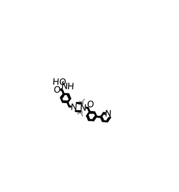 C[C@@H]1CN(Cc2ccc(C(=O)NO)cc2)C[C@H](C)N1C(=O)c1cccc(-c2cccnc2)c1